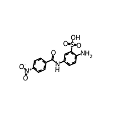 Nc1ccc(NC(=O)c2ccc([N+](=O)[O-])cc2)cc1S(=O)(=O)O